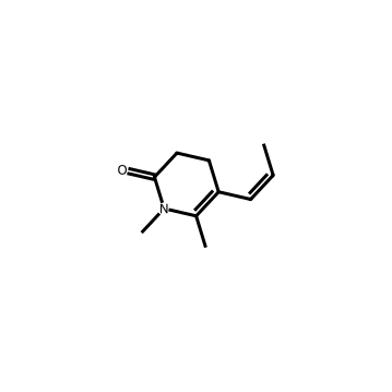 C/C=C\C1=C(C)N(C)C(=O)CC1